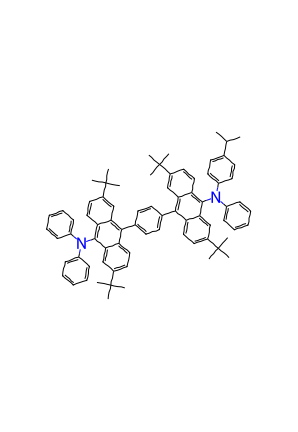 CC(C)c1ccc(N(c2ccccc2)c2c3ccc(C(C)(C)C)cc3c(-c3ccc(-c4c5cc(C(C)(C)C)ccc5c(N(c5ccccc5)c5ccccc5)c5cc(C(C)(C)C)ccc45)cc3)c3ccc(C(C)(C)C)cc23)cc1